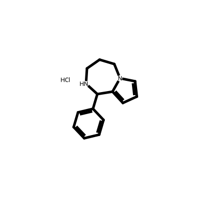 Cl.c1ccc(C2NCCCn3cccc32)cc1